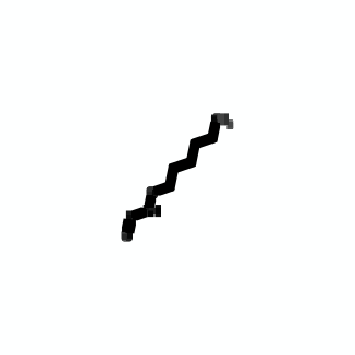 CCCCCCONP=O